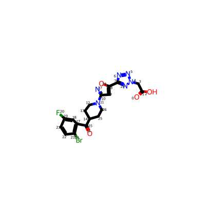 O=C(O)Cn1nnc(-c2cc(N3CCC(C(=O)c4cc(F)ccc4Br)CC3)no2)n1